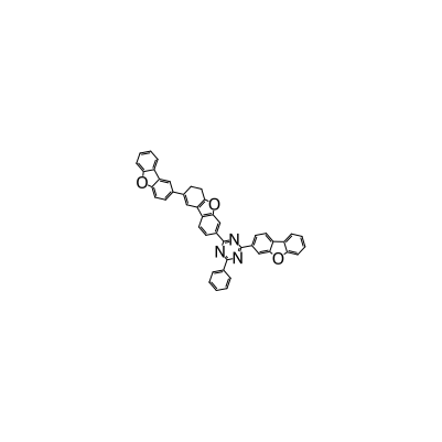 C1=C(c2ccc3oc4ccccc4c3c2)CCc2oc3cc(-c4nc(-c5ccccc5)nc(-c5ccc6c(c5)oc5ccccc56)n4)ccc3c21